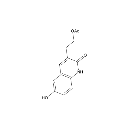 CC(=O)OCCc1cc2cc(O)ccc2[nH]c1=O